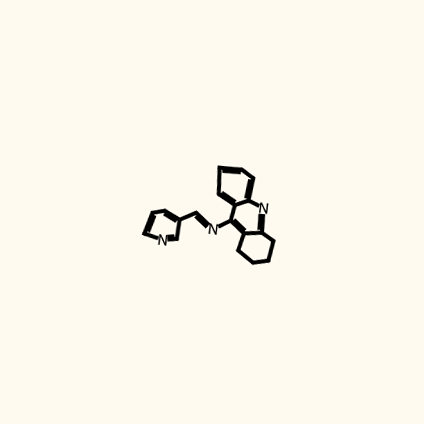 C(=N\c1c2c(nc3ccccc13)CCCC2)/c1cccnc1